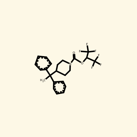 CC(c1ccccc1)(c1ccccc1)C1CCN(C(=O)OC(C(F)(F)F)C(F)(F)F)CC1